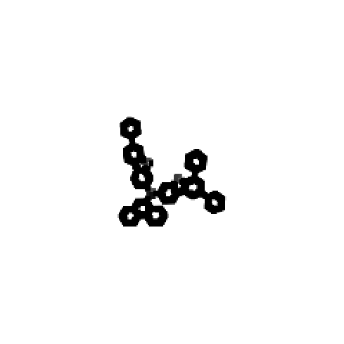 c1ccc(-c2ccc3c(c2)oc2cc(N(c4ccc5c(c4)oc4c(-c6ccccc6)cc(-c6ccccc6)cc45)c4cc5ccccc5c5ccccc45)ccc23)cc1